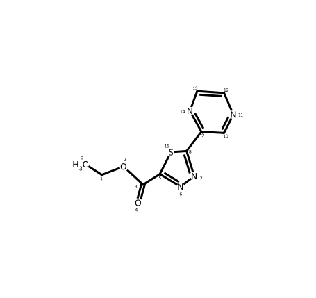 CCOC(=O)c1nnc(-c2cnccn2)s1